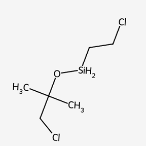 CC(C)(CCl)O[SiH2]CCCl